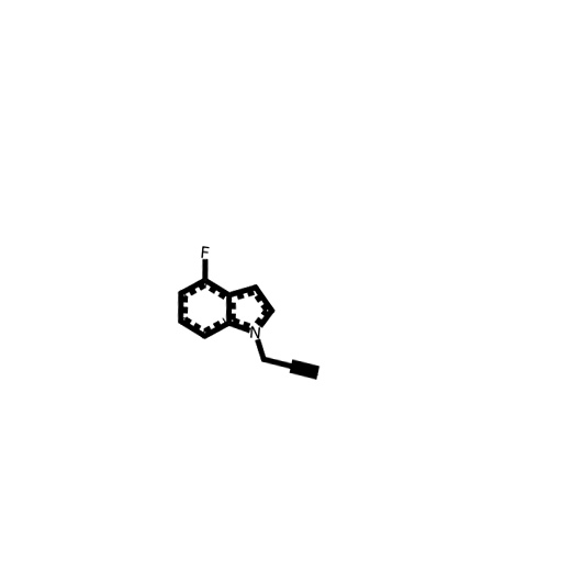 C#CCn1ccc2c(F)cccc21